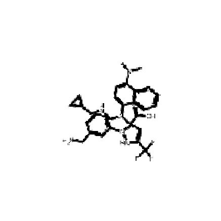 CN(C)c1ccc(N(CNCC2CC2)C2(C(=O)O)C=C(C(F)(F)F)NN2c2cccc(CN)c2)c2ccccc12